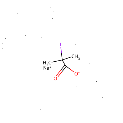 CC(C)(I)C(=O)[O-].[Na+]